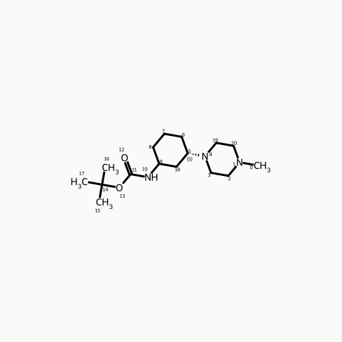 CN1CCN([C@H]2CCCC(NC(=O)OC(C)(C)C)C2)CC1